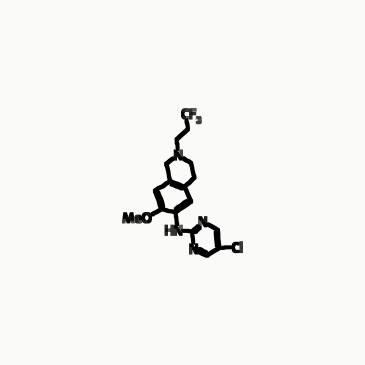 COc1cc2c(cc1Nc1ncc(Cl)cn1)CCN(CCC(F)(F)F)C2